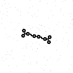 C(=Cc1ccc(N(c2ccccc2)c2ccccc2)cc1)c1ccc(-c2ccc(C=Cc3ccc(N(c4ccccc4)c4ccccc4)cc3)cc2)cc1